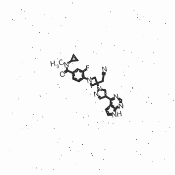 CN(C(=O)c1ccc(N2CC(CC#N)(N3CC(c4ncnc5[nH]ccc45)C=N3)C2)c(F)c1)C1CC1